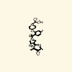 Cc1nc2c3c(nn2c(C)c1Cl)CN(C(=O)c1ccc(F)cc1OC1CCN(CC(O)C(F)(F)F)CC1)C3